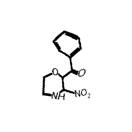 O=C(c1ccccc1)C1OCCNC1[N+](=O)[O-]